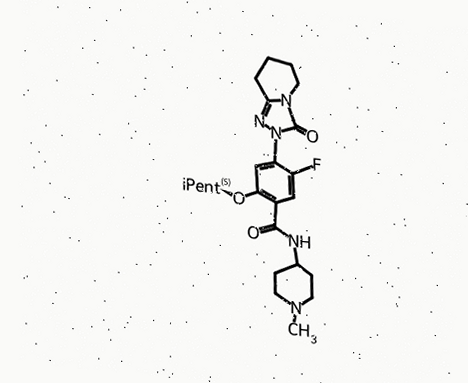 CCC[C@H](C)Oc1cc(-n2nc3n(c2=O)CCCC3)c(F)cc1C(=O)NC1CCN(C)CC1